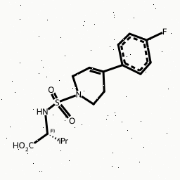 CC(C)[C@@H](NS(=O)(=O)N1CC=C(c2ccc(F)cc2)CC1)C(=O)O